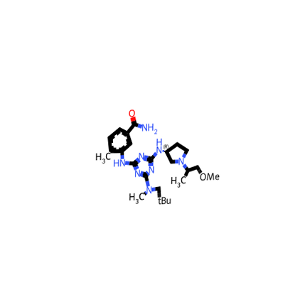 COCC(C)N1CC[C@@H](Nc2nc(Nc3cc(C(N)=O)ccc3C)nc(N(C)CC(C)(C)C)n2)C1